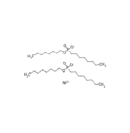 CCCCCCCCOP(=O)([O-])CCCCCCCC.CCCCCCCCOP(=O)([O-])CCCCCCCC.[Ni+2]